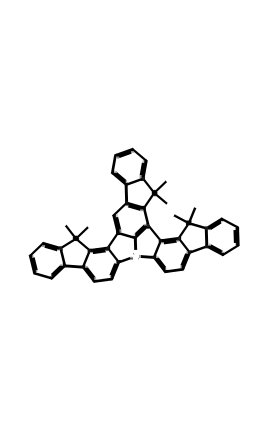 CC1(C)c2ccccc2-c2ccc3c(c21)c1cc2c(c4c5c6c(ccc5n3c14)-c1ccccc1C6(C)C)C(C)(C)c1ccccc1-2